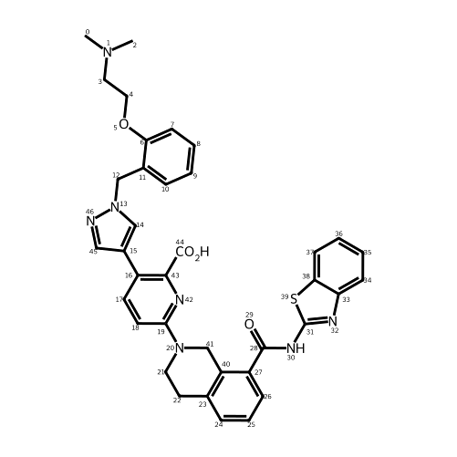 CN(C)CCOc1ccccc1Cn1cc(-c2ccc(N3CCc4cccc(C(=O)Nc5nc6ccccc6s5)c4C3)nc2C(=O)O)cn1